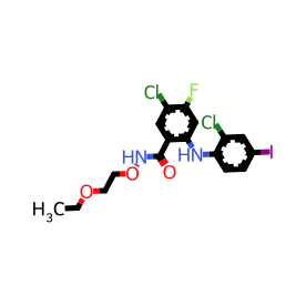 CCOCCONC(=O)c1cc(Cl)c(F)cc1Nc1ccc(I)cc1Cl